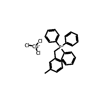 Cc1cccc(C[P+](c2ccccc2)(c2ccccc2)c2ccccc2)c1.[Cl][Cu-]([Cl])[Cl]